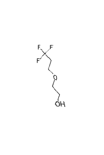 OCCOCCC(F)(F)F